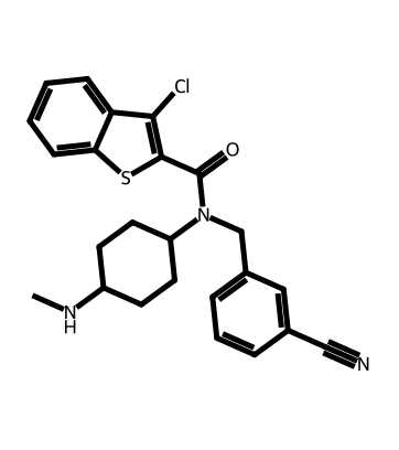 CNC1CCC(N(Cc2cccc(C#N)c2)C(=O)c2sc3ccccc3c2Cl)CC1